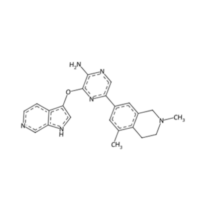 Cc1cc(-c2cnc(N)c(Oc3c[nH]c4cnccc34)n2)cc2c1CCN(C)C2